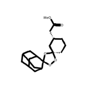 COC(=O)C[C@@H]1CCC[C@]2(C1)OOC1(O2)C2CC3CC(C2)CC1C3